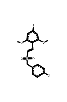 COc1cc(F)cc(OC)c1C=CS(=O)(=O)Cc1ccc(Cl)cc1